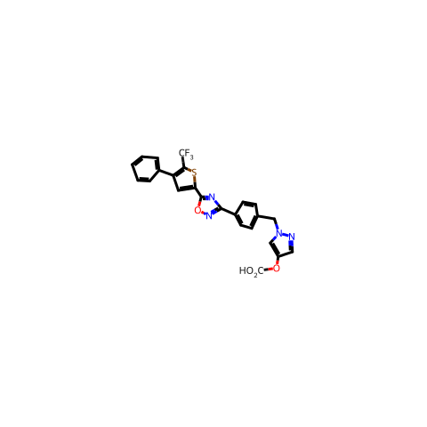 O=C(O)Oc1cnn(Cc2ccc(-c3noc(-c4cc(-c5ccccc5)c(C(F)(F)F)s4)n3)cc2)c1